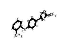 Cc1ccccc1Sc1ccc(-c2noc(C(F)(F)F)n2)cc1